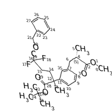 COC(=O)[C@@H](C)Cc1cccc(C(C)(CCC(F)(F)COCc2ccccc2)C(=O)OC(C)(C)C)c1